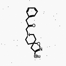 CC(C)(C)C1=NOC2(CCN(CC(=O)Cc3ccccc3)CC2)C1